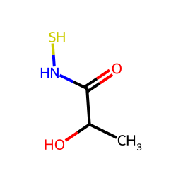 CC(O)C(=O)NS